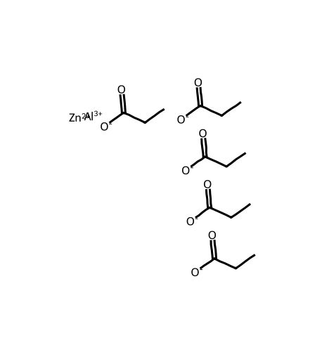 CCC(=O)[O-].CCC(=O)[O-].CCC(=O)[O-].CCC(=O)[O-].CCC(=O)[O-].[Al+3].[Zn+2]